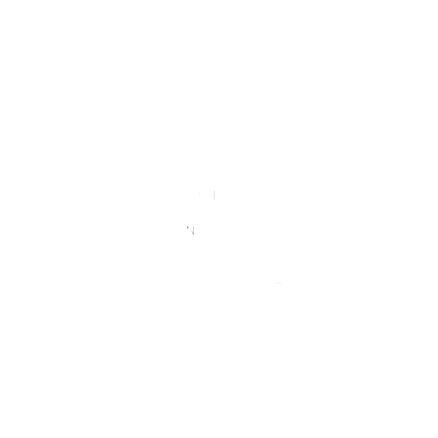 C[CH]c1cccc[n+]1C